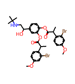 COc1ccc(C(C)C(=O)Oc2ccc(C(O)CNC(C)(C)C)cc2OC(=O)C(C)c2ccc(OC)cc2Br)c(Br)c1